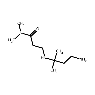 CN(C)C(=O)CCNC(C)(C)CCN